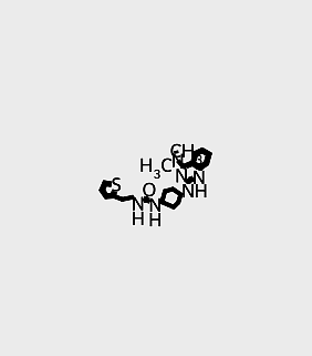 CN(C)c1nc(N[C@H]2CC[C@@H](NC(=O)NCCc3cccs3)CC2)nc2ccccc12